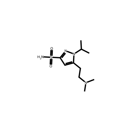 CC(C)n1nc(S(N)(=O)=O)cc1CCN(C)C